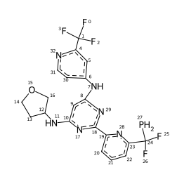 FC(F)(F)c1cc(Nc2cc(NC3CCOC3)nc(-c3cccc(C(F)(F)P)n3)n2)ccn1